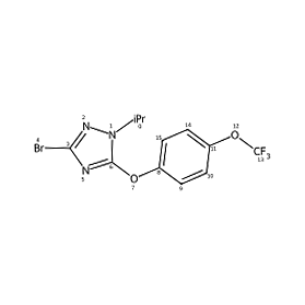 CC(C)n1nc(Br)nc1Oc1ccc(OC(F)(F)F)cc1